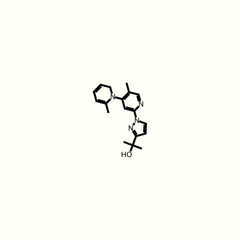 CC1=CC=CCN1c1cc(-n2ccc(C(C)(C)O)n2)ncc1C